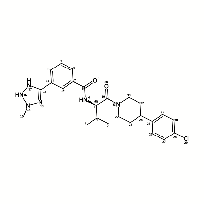 CC(C)[C@@H](NC(=O)c1cccc(C2=NN(C)NN2)c1)C(=O)N1CCC(c2ccc(Cl)cc2)CC1